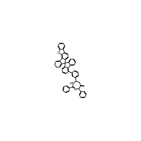 C=C1CC(c2cccc(-c3cccc4c3-c3ccccc3C43C4=CCCC=C4c4c3ccc3c4oc4ccccc43)c2)NC(c2ccccc2)=NC1c1ccccc1